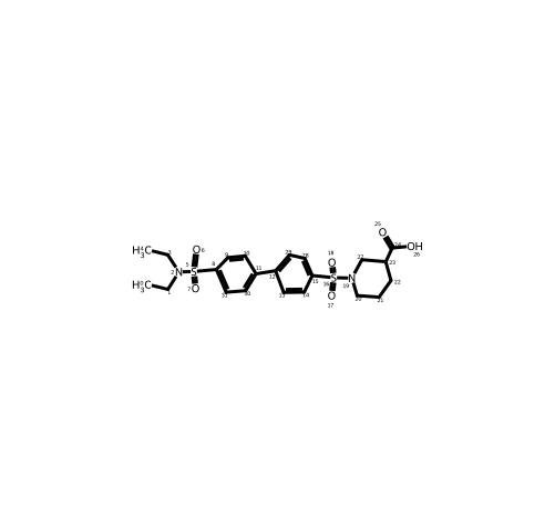 CCN(CC)S(=O)(=O)c1ccc(-c2ccc(S(=O)(=O)N3CCCC(C(=O)O)C3)cc2)cc1